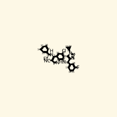 CC[C@@H](Nc1c(C#N)cnc2c(N[C@@H](c3cccc(F)c3)c3cn(C4CC4)nn3)cc(Cl)cc12)c1ccccc1